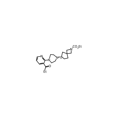 CCOC(=O)N1CC2(CC[C@@H](N3CCN(c4ncccc4C(=O)CC)CC3)C2)C1